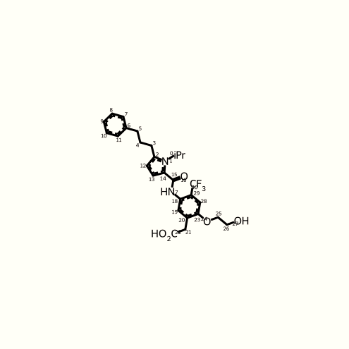 CC(C)n1c(CCCc2ccccc2)ccc1C(=O)Nc1cc(CC(=O)O)c(OCCO)cc1C(F)(F)F